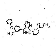 C=CC(=O)N1CCCC(Nc2ncncc2C(=N)c2ccc(Oc3ccccc3)c(C)c2)C1